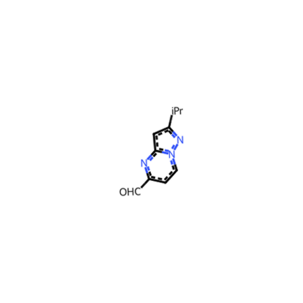 CC(C)c1cc2nc(C=O)ccn2n1